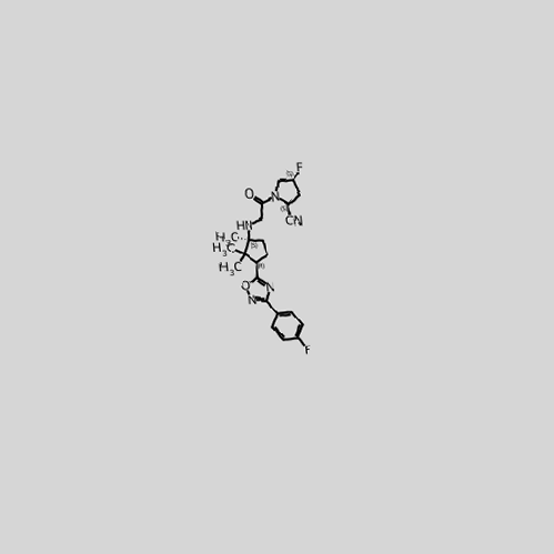 CC1(C)[C@H](c2nc(-c3ccc(F)cc3)no2)CC[C@]1(C)NCC(=O)N1C[C@@H](F)C[C@H]1C#N